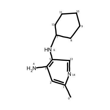 Cc1cc(N)c(NC2CCCCC2)cn1